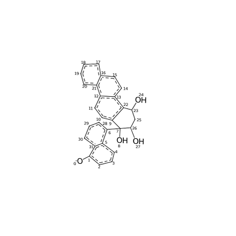 [O]c1cccc2c(C3(O)c4ccc5c(ccc6ccccc65)c4C(O)CC3O)cccc12